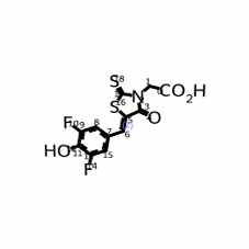 O=C(O)CN1C(=O)/C(=C/c2cc(F)c(O)c(F)c2)SC1=S